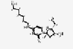 C[C@]1(n2ccc(NCCCCCCO)nc2=O)C[C@H](O)[C@@H](CO)O1